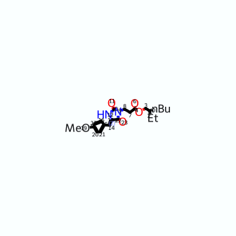 CCCCC(CC)COC(=O)CCN1C(=O)N/C(=C\c2ccc(OC)cc2)C1=O